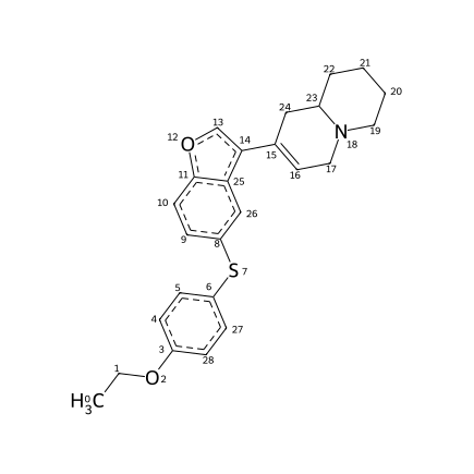 CCOc1ccc(Sc2ccc3occ(C4=CCN5CCCCC5C4)c3c2)cc1